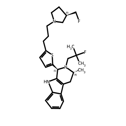 C[C@@H]1Cc2c([nH]c3ccccc23)[C@@H](c2ccc(CCCN3CC[C@@H](CF)C3)s2)N1CC(C)(C)F